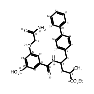 CCOC(=O)[C@H](C)CC(Cc1ccc(-c2ccccc2)cc1)NC(=O)c1cc(OCC(N)=O)cc(C(=O)O)c1